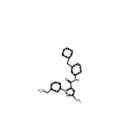 Cc1cc(C(=O)Nc2cccc(Cc3ccccc3)c2)n(-c2cccc(CN)c2)n1